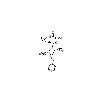 COC(=O)[C@@H]1CC2(CC2)CN1C(=O)c1cc(OC)c(OCc2ccccc2)cc1[N+](=O)[O-]